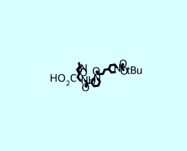 Cc1cc([C@H](CNC(=O)[C@@H]2CCCN(C(=O)CCC3CCN(C(=O)OC(C)(C)C)CC3)C2)C(=O)O)on1